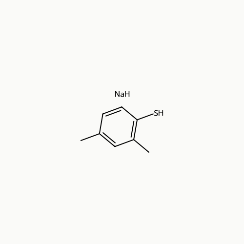 Cc1ccc(S)c(C)c1.[NaH]